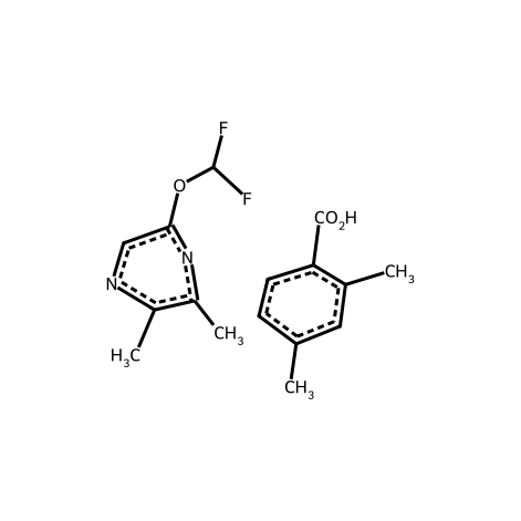 Cc1ccc(C(=O)O)c(C)c1.Cc1ncc(OC(F)F)nc1C